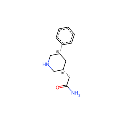 NC(=O)C[C@@H]1CNC[C@H](c2ccccc2)C1